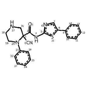 N#CC1(C(=O)Nc2ncc(-c3ccccc3)s2)CNCCN1c1ccccc1